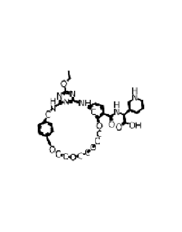 CCOc1nc2nc(n1)Nc1ccc(C(=O)NC(C(=O)O)C3CCCNC3)c(c1)OCCOCCOCCOc1ccc(cc1)CN2